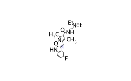 CCN(CC)CCNC(=O)C1C(C)=NC(/C=C2\C(=O)Nc3ccc(F)cc32)=C1C